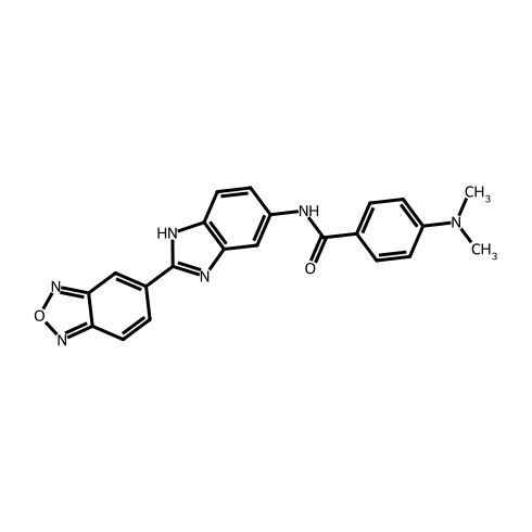 CN(C)c1ccc(C(=O)Nc2ccc3[nH]c(-c4ccc5nonc5c4)nc3c2)cc1